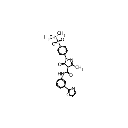 CC1=NN(c2ccc(S(=O)(=O)N(C)C)cc2)C(=O)C1C(=O)Nc1cccc(-c2ncco2)c1